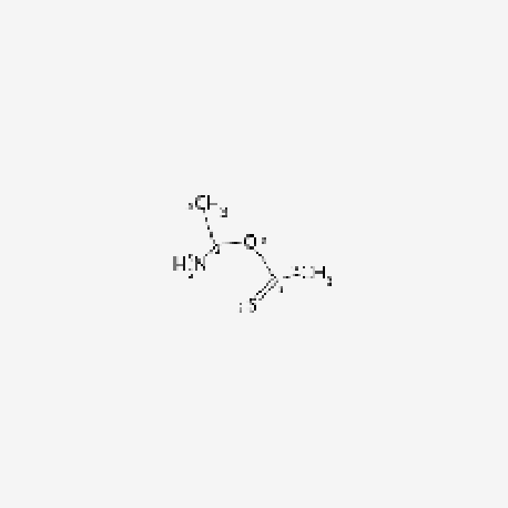 CC(=S)OC(C)N